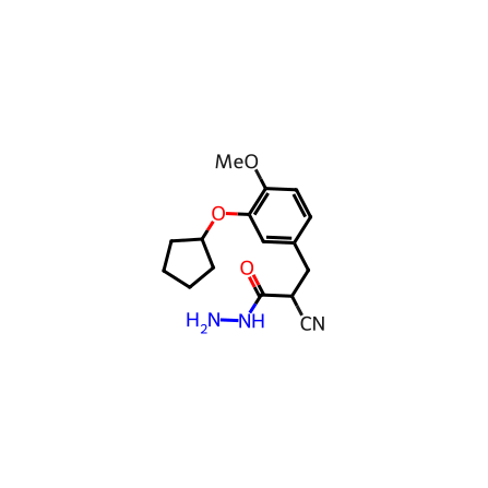 COc1ccc(CC(C#N)C(=O)NN)cc1OC1CCCC1